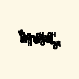 Cc1nc(CC(C)(C)C)c2nc(Cn3cccc(NC(=O)[C@H](CC/C=C/C(=O)N(C)C)NC(=O)O)c3=O)[nH]c2n1